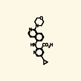 O=C(O)c1cc(C2CC2)cnc1Nc1cccc2c(N3CCOCC3)nccc12